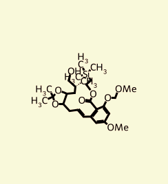 COCOc1cc(OC)cc(/C=C/CC2OC(C)(C)OC2C[C@@H](C)CO)c1C(=O)OCC[Si](C)(C)C